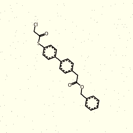 O=C(Cc1ccc(-c2ccc(SC(=O)CCl)cc2)cc1)OCc1ccccc1